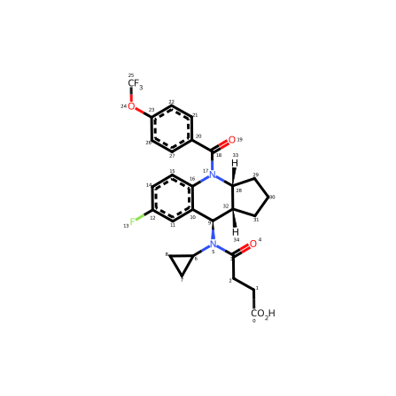 O=C(O)CCC(=O)N(C1CC1)[C@H]1c2cc(F)ccc2N(C(=O)c2ccc(OC(F)(F)F)cc2)[C@@H]2CCC[C@@H]21